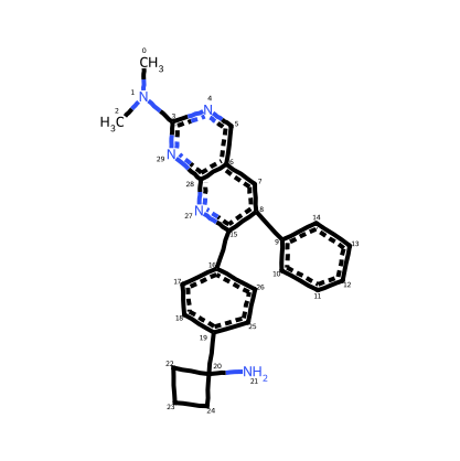 CN(C)c1ncc2cc(-c3ccccc3)c(-c3ccc(C4(N)CCC4)cc3)nc2n1